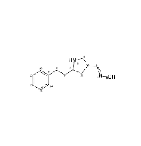 ON=CC1CNC(CCc2ccccc2)C1